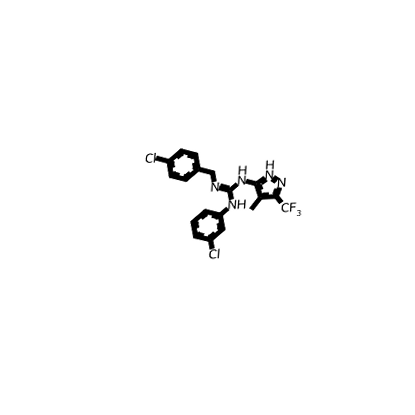 Cc1c(C(F)(F)F)n[nH]c1N/C(=N\Cc1ccc(Cl)cc1)Nc1cccc(Cl)c1